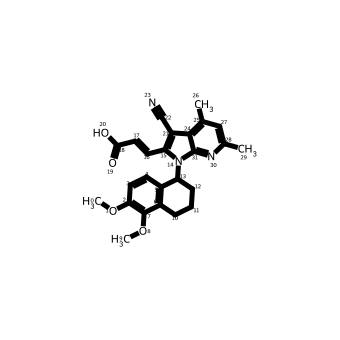 COc1ccc2c(c1OC)CCCC2n1c(C=CC(=O)O)c(C#N)c2c(C)cc(C)nc21